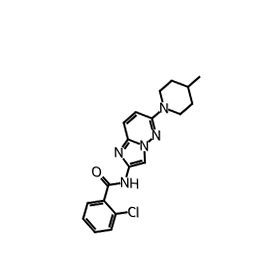 CC1CCN(c2ccc3nc(NC(=O)c4ccccc4Cl)cn3n2)CC1